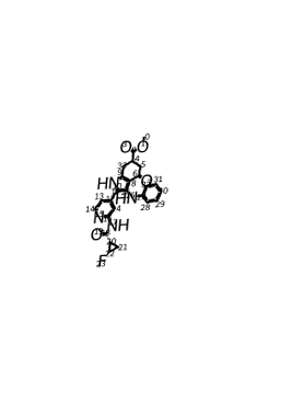 COC(=O)C1CC(=O)c2c([nH]c(-c3ccnc(NC(=O)[C@@H]4C[C@@H]4F)c3)c2Nc2ccccc2)C1